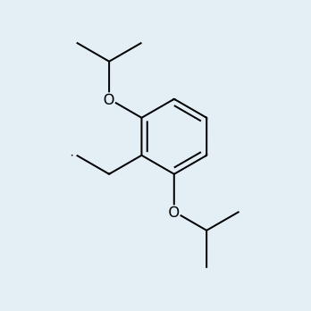 [CH2]Cc1c(OC(C)C)cccc1OC(C)C